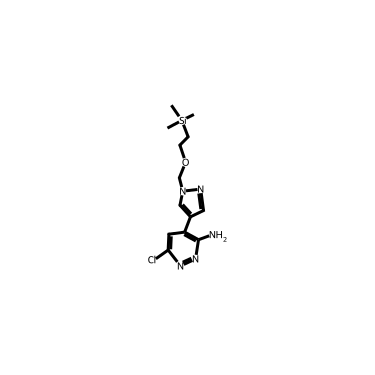 C[Si](C)(C)CCOCn1cc(-c2cc(Cl)nnc2N)cn1